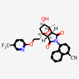 C[C@]12O[C@](CCOc3ccc(C(F)(F)F)cn3)(C[C@@H]1O)[C@H]1C(=O)N(c3ccc(C#N)c4ccccc34)C(=O)[C@@H]12